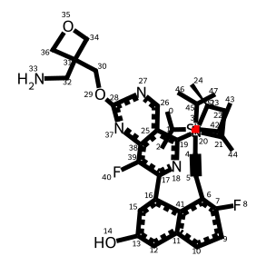 CC(C)[Si](C#Cc1c(F)ccc2cc(O)cc(-c3nc(N4CC[C@@H]4C)c4cnc(OCC5(CN)COC5)nc4c3F)c12)(C(C)C)C(C)C